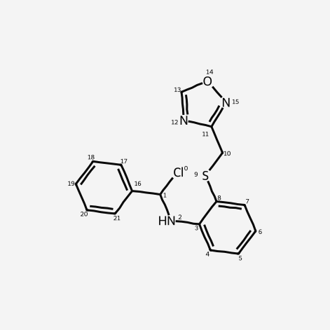 ClC(Nc1ccccc1SCc1ncon1)c1ccccc1